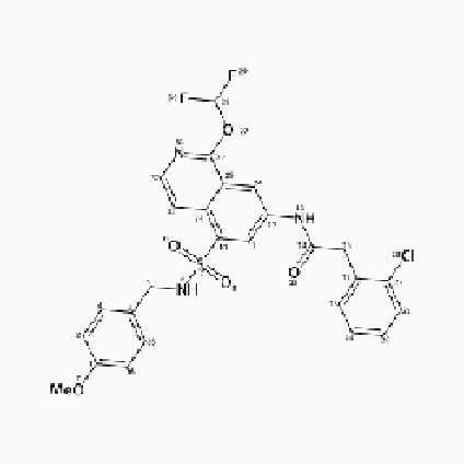 COc1ccc(CNS(=O)(=O)c2cc(NC(=O)Cc3ccccc3Cl)cc3c(OC(F)F)nccc23)cc1